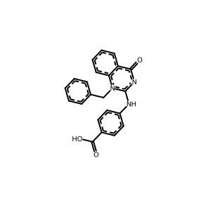 O=C(O)c1ccc(Nc2nc(=O)c3ccccc3n2Cc2ccccc2)cc1